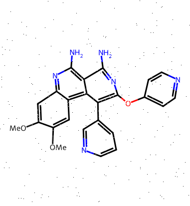 COc1cc2nc(N)c3c(N)nc(Oc4ccncc4)c(-c4cccnc4)c3c2cc1OC